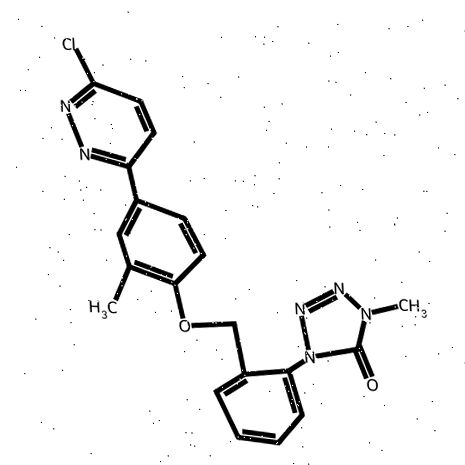 Cc1cc(-c2ccc(Cl)nn2)ccc1OCc1ccccc1-n1nnn(C)c1=O